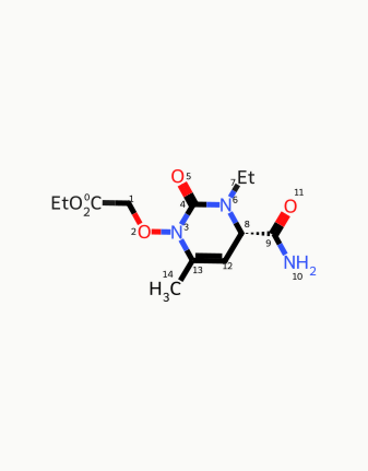 CCOC(=O)CON1C(=O)N(CC)[C@H](C(N)=O)C=C1C